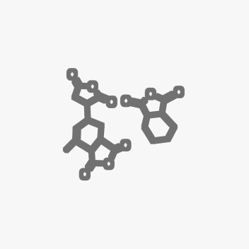 CC1=CC(C2CC(=O)OC2=O)CC2C(=O)OC(=O)C12.O=C1OC(=O)C2CCCCC12